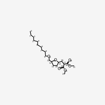 CCCCCCCCCCOCC1CCC(CC(C(=O)OC)C(=O)OC)O1